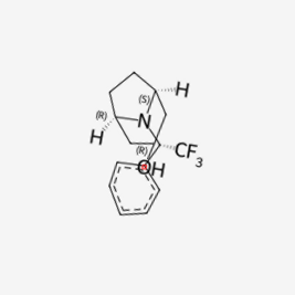 O[C@@]1(C(F)(F)F)C[C@H]2CC[C@@H](C1)N2Cc1ccccc1